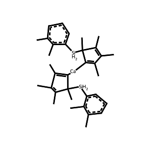 CC1=C(C)C(C)([SiH2]c2cccc(C)c2C)[C]([Ca][C]2=C(C)C(C)=C(C)C2(C)[SiH2]c2cccc(C)c2C)=C1C